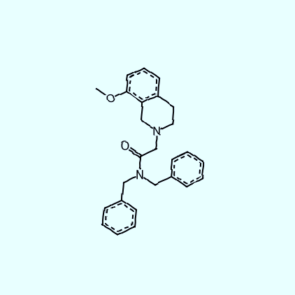 COc1cccc2c1CN(CC(=O)N(Cc1ccccc1)Cc1ccccc1)CC2